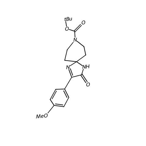 COc1ccc(C2=NC3(CCN(C(=O)OC(C)(C)C)CC3)NC2=O)cc1